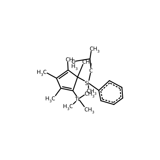 CC1=C(C)C(C)([Si](C)(CC(C)C)c2ccccc2)[C]([Ti]([CH3])([CH3])[CH3])=C1C